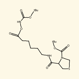 CC(C)(C)OC(=O)NOC(=O)CCCCCNC(=O)C1CSCN1C(=O)OC(C)(C)C